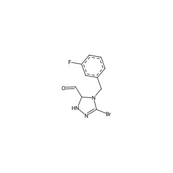 O=CC1NN=C(Br)N1Cc1cccc(F)c1